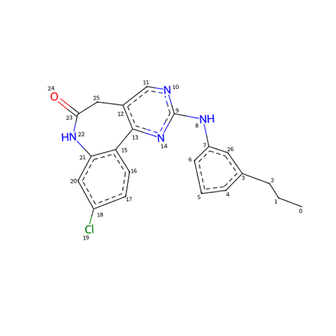 CCCc1cccc(Nc2ncc3c(n2)-c2ccc(Cl)cc2NC(=O)C3)c1